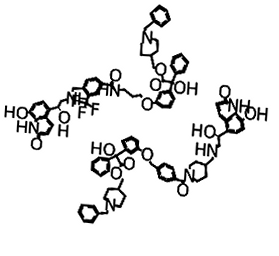 O=C(NCCCOc1cccc([C@](O)(C(=O)OCC2CCN(Cc3ccccc3)CC2)c2ccccc2)c1)c1ccc(CNC[C@H](O)c2ccc(O)c3[nH]c(=O)ccc23)c(C(F)(F)F)c1.O=C(c1ccc(COc2cccc([C@](O)(C(=O)OCC3CCN(Cc4ccccc4)CC3)c3ccccc3)c2)cc1)N1CCC(CNC[C@H](O)c2ccc(O)c3[nH]c(=O)ccc23)CC1